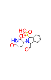 O=CC1c2ccccc2C(S(=O)(=O)O)N1C1CCC(=O)NC1=O